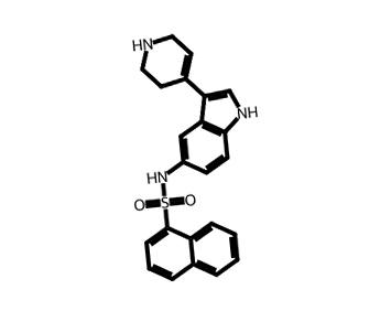 O=S(=O)(Nc1ccc2[nH]cc(C3=CCNCC3)c2c1)c1cccc2ccccc12